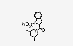 CC1CC(C)CN(C(=O)C2Cc3ccccc3N2C(=O)O)C1